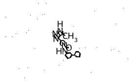 Cc1c[nH]c2ncnc(C3=CCN(C(=O)Nc4cccc(-c5ccccc5)c4)CC3)c12